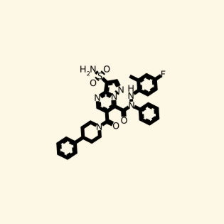 Cc1cc(F)ccc1NN(C(=O)c1c(C(=O)N2CCC(c3ccccc3)CC2)cnc2c(S(N)(=O)=O)cnn12)c1ccccc1